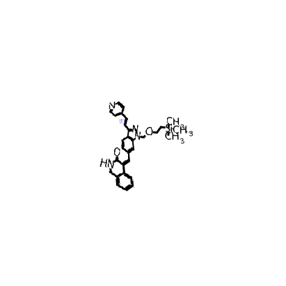 C[Si](C)(C)CCOCn1nc(/C=C/c2ccncc2)c2ccc(C=C3C(=O)NCc4ccccc43)cc21